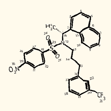 C[C@H](c1cccc2ccccc12)N(CCCc1cccc(C(F)(F)F)c1)S(=O)(=O)c1ccc([N+](=O)[O-])cc1